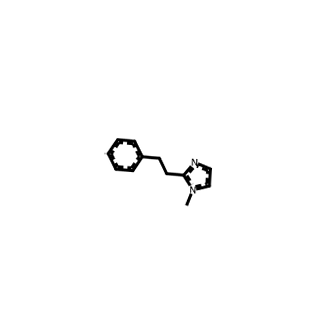 Cn1ccnc1CCc1cc[c]cc1